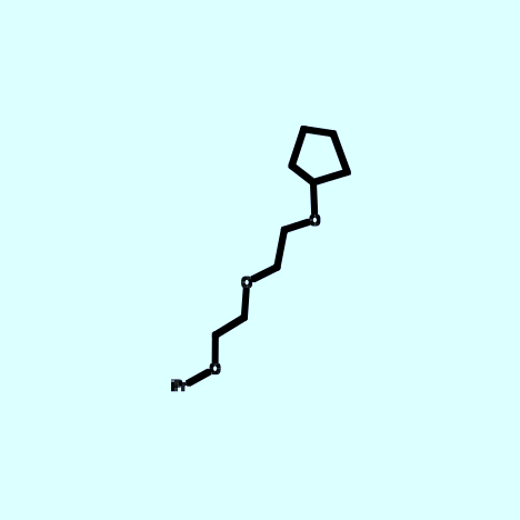 CC(C)OCCOCCOC1CCCC1